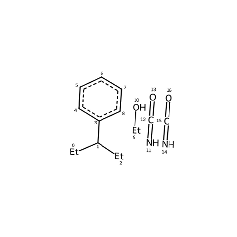 CCC(CC)c1ccccc1.CCO.N=C=O.N=C=O